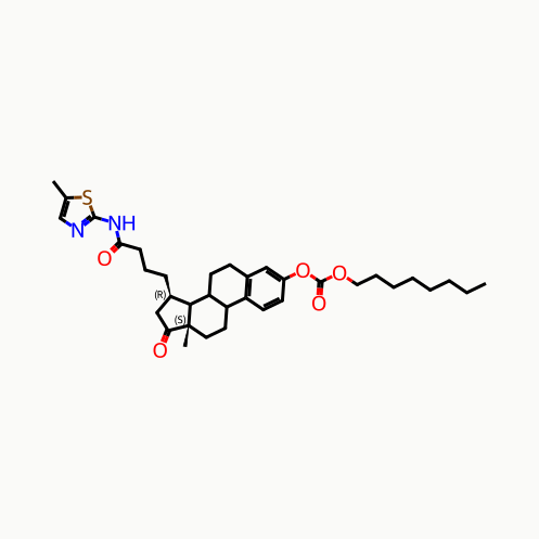 CCCCCCCCOC(=O)Oc1ccc2c(c1)CCC1C2CC[C@]2(C)C(=O)C[C@@H](CCCC(=O)Nc3ncc(C)s3)C12